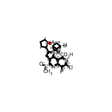 CC(=O)N1CCCC1c1cc2c([S+](C)[O-])nc3c(F)c(Cl)ncc3c2n1[C@H]1[C@@H]2C[C@H]1N(C(=O)O)C2